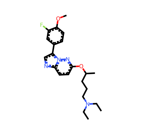 CCN(CC)CCCC(C)Oc1ccc2ncc(-c3ccc(OC)c(F)c3)n2n1